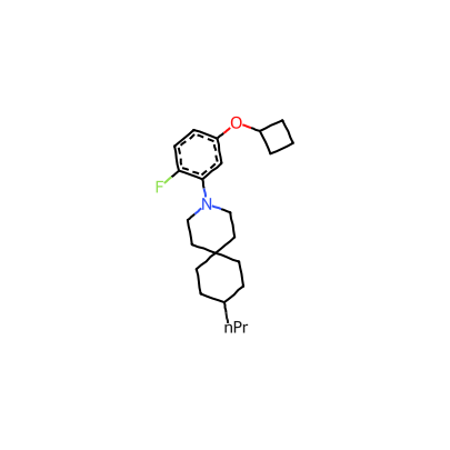 CCCC1CCC2(CC1)CCN(c1cc(OC3CCC3)ccc1F)CC2